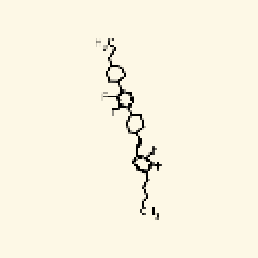 CCCCCc1ccc(/C=C/C2CCC(c3ccc(C4CCC(CCC)CC4)c(F)c3F)CC2)c(F)c1F